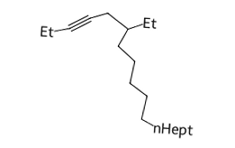 [CH2]CC#CCC(CC)CCCCCCCCCCC[CH2]